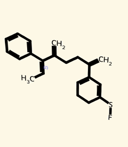 C=C(CCC(=C)/C(=C/C)c1ccccc1)C1=CCCC(SF)=C1